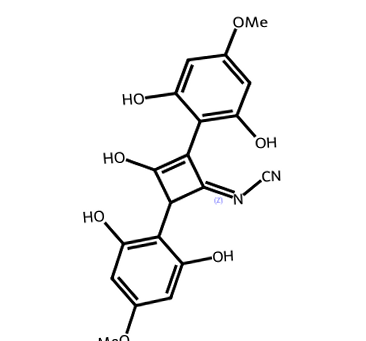 COc1cc(O)c(C2=C(O)C(c3c(O)cc(OC)cc3O)/C2=N/C#N)c(O)c1